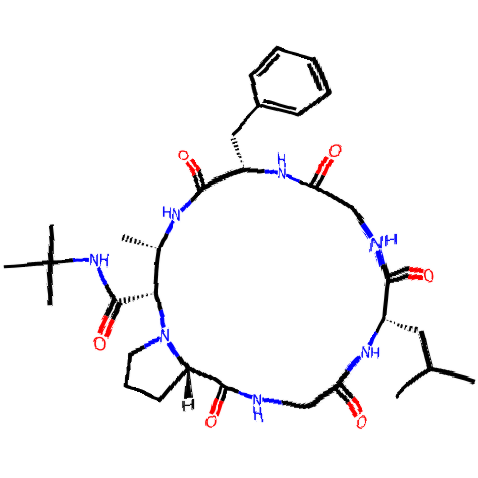 CC(C)C[C@@H]1NC(=O)CNC(=O)[C@@H]2CCCN2[C@H](C(=O)NC(C)(C)C)[C@H](C)NC(=O)[C@H](Cc2ccccc2)NC(=O)CNC1=O